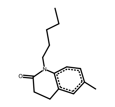 CCCCCN1C(=O)CCc2cc(C)ccc21